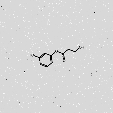 O=C(CCO)Oc1cccc(O)c1